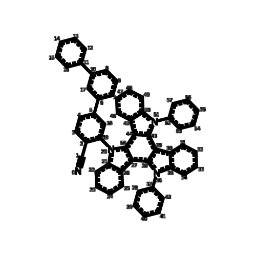 N#Cc1ccc(-c2cccc(-c3ccccc3)c2)cc1-n1c2ccccc2c2c3c(c4ccccc4n3-c3ccccc3)c3c(c4ccccc4n3-c3ccccc3)c21